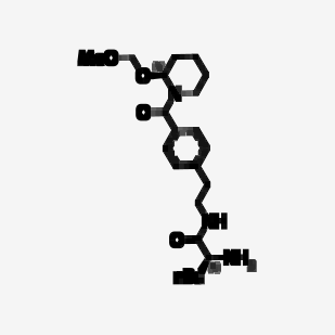 CCCC[C@H](N)C(=O)NCCc1ccc(C(=O)N2CCCC[C@@H]2OCOC)cc1